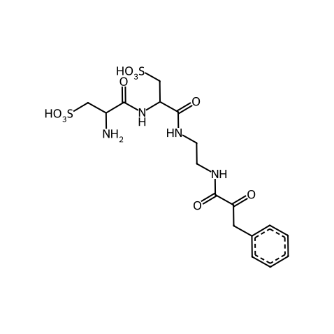 NC(CS(=O)(=O)O)C(=O)NC(CS(=O)(=O)O)C(=O)NCCNC(=O)C(=O)Cc1ccccc1